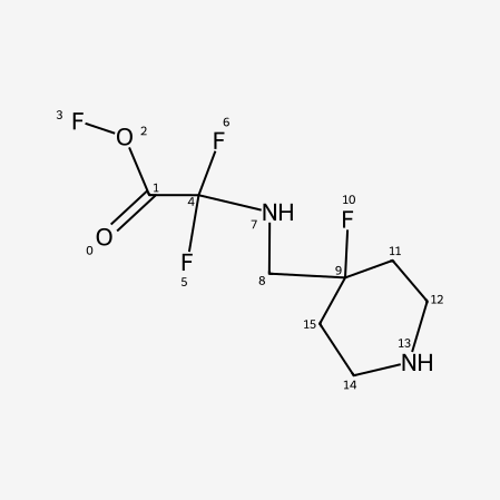 O=C(OF)C(F)(F)NCC1(F)CCNCC1